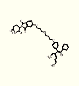 C=CC(=C\C=C\O)/C(=C(\CC)c1ccccc1)c1ccc(OCCCOCCCOc2ccc3c(c2)C(=O)N(C2CCC(=O)NC2=O)C3=O)cc1